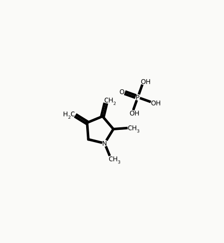 C=C1CN(C)C(C)C1=C.O=P(O)(O)O